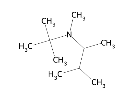 CC(C)C(C)N(C)C(C)(C)C